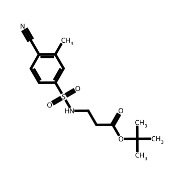 Cc1cc(S(=O)(=O)NCCC(=O)OC(C)(C)C)ccc1C#N